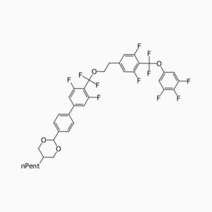 CCCCCC1COC(c2ccc(-c3cc(F)c(C(F)(F)OCCc4cc(F)c(C(F)(F)Oc5cc(F)c(F)c(F)c5)c(F)c4)c(F)c3)cc2)OC1